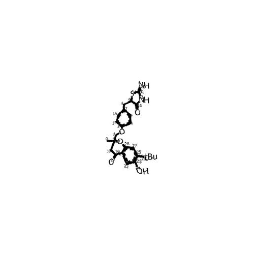 CC1(COc2ccc(CC3SC(=N)NC3=O)cc2)CC(=O)c2cc(O)c(C(C)(C)C)cc2O1